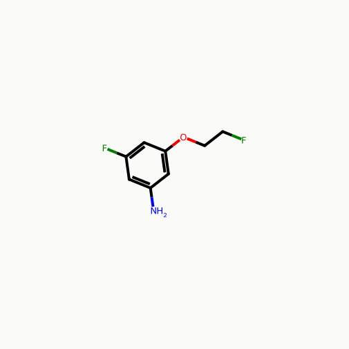 Nc1cc(F)cc(OCCF)c1